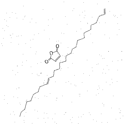 C=CCCCCCCCCCCCCCCCCC=CCCCCCCCC.O=C1C=CC(=O)O1